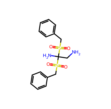 NCC(N)(S(=O)(=O)Cc1ccccc1)S(=O)(=O)Cc1ccccc1